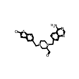 Nc1ncnc2cc(CN3CCN(Cc4ccc5sc(Cl)cc5c4)CC3C=O)ccc12